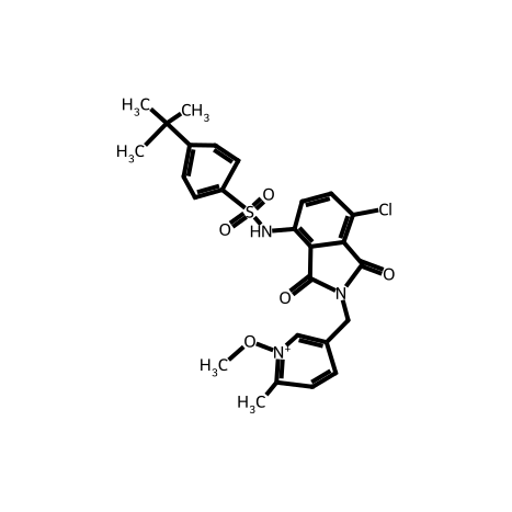 CO[n+]1cc(CN2C(=O)c3c(Cl)ccc(NS(=O)(=O)c4ccc(C(C)(C)C)cc4)c3C2=O)ccc1C